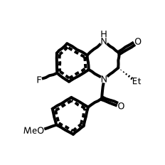 CC[C@H]1C(=O)Nc2ccc(F)cc2N1C(=O)c1ccc(OC)cc1